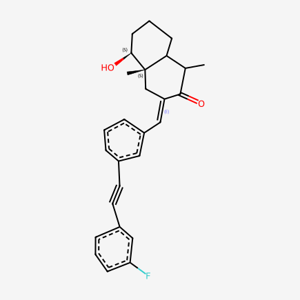 CC1C(=O)/C(=C/c2cccc(C#Cc3cccc(F)c3)c2)C[C@@]2(C)C1CCC[C@@H]2O